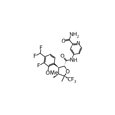 COc1c([C@H]2[C@H](C(=O)Nc3ccnc(C(N)=O)c3)O[C@@](C)(C(F)(F)F)[C@H]2C)ccc(C(F)F)c1F